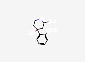 CCCCC1CC(O)(c2ccccc2OC)CCN1